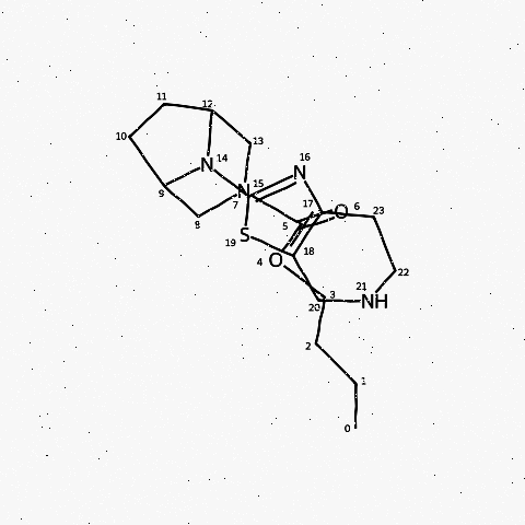 CCCCOC(=O)N1CC2CCC(C1)N2c1nc2c(s1)CNCC2